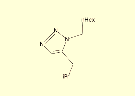 CCCCCCCn1nncc1CC(C)C